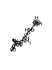 COc1cc2c(NC3CCCN(C(=O)OC(C)(C)C)C3)nc(N3CCCC3)nc2cc1OC/C(N)=C/NCCOCCOCCNC(=O)CCCC[C@@H]1SC[C@@H]2NC(=O)N[C@@H]21